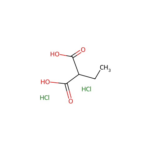 CCC(C(=O)O)C(=O)O.Cl.Cl